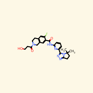 CC1(C)CCc2nnc(-c3cccc(NC(=O)c4cc5c(cc4F)CCN(C(=O)CCO)C5)n3)n21